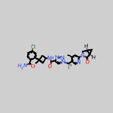 Cc1cc(N2C[C@H]3C[C@H]3C2=O)ncc1[C@H](C)n1cc(C(=O)NC2CC(C)(c3cc(Cl)ccc3C(N)=O)C2)nn1